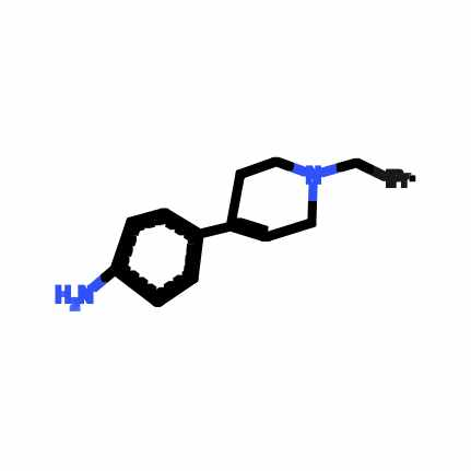 C[C](C)CN1CC=C(c2ccc(N)cc2)CC1